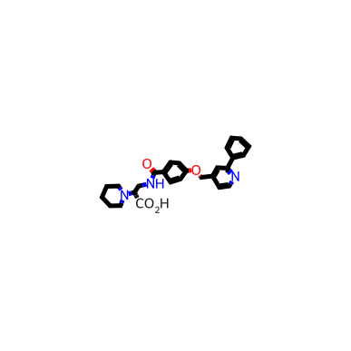 O=C(NCC(C(=O)O)N1CCCCC1)c1ccc(OCc2ccnc(-c3ccccc3)c2)cc1